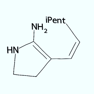 CCCC(C)/C=C\C1=C(N)NCC1